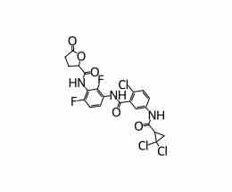 O=C1CCC(C(=O)Nc2c(F)ccc(NC(=O)c3cc(NC(=O)C4CC4(Cl)Cl)ccc3Cl)c2F)O1